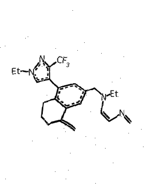 C=N/C=C\N(CC)Cc1cc2c(c(-c3cn(CC)nc3C(F)(F)F)c1)CCCC2=C